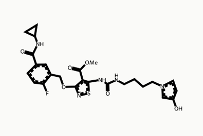 COC(=O)c1c(OCc2cc(C(=O)NC3CC3)ccc2F)nsc1NC(=O)NCCCCn1ccc(O)c1